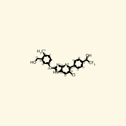 Cc1ccc(Oc2nc3nc(-c4ccc(C(O)C(F)(F)F)cc4)c(Cl)cc3[nH]2)cc1CO